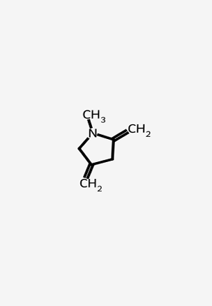 C=C1CC(=C)N(C)C1